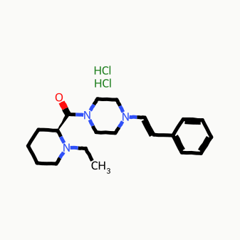 CCN1CCCC[C@H]1C(=O)N1CCN(C=Cc2ccccc2)CC1.Cl.Cl